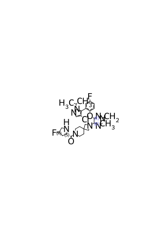 C=N/N=C(Oc1ccc(F)cc1-c1c(Cl)cnn1C(C)C)\C(=N/C)N1CC2(CCN(C(=O)[C@@H]3C[C@@H](F)CN3)CC2)C1